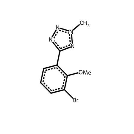 COc1c(Br)cccc1-c1nnn(C)n1